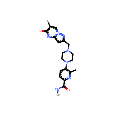 CCc1cn2nc(CN3CCN(c4ccc(C(=O)NC#N)nc4C)CC3)cc2[nH]c1=O